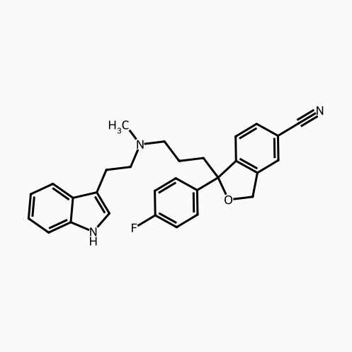 CN(CCCC1(c2ccc(F)cc2)OCc2cc(C#N)ccc21)CCc1c[nH]c2ccccc12